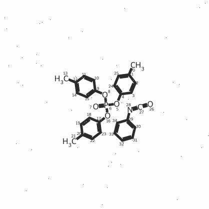 Cc1ccc(OP(=O)(Oc2ccc(C)cc2)Oc2ccc(C)cc2)cc1.O=C=Nc1ccccc1